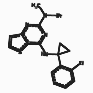 CC(C)N(C)c1nc(NC2(c3ccccc3Cl)CC2)c2sccc2n1